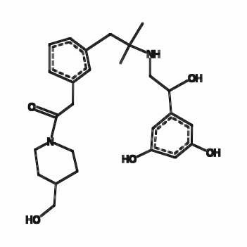 CC(C)(Cc1cccc(CC(=O)N2CCC(CO)CC2)c1)NCC(O)c1cc(O)cc(O)c1